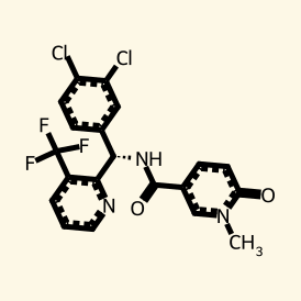 Cn1cc(C(=O)N[C@@H](c2ccc(Cl)c(Cl)c2)c2ncccc2C(F)(F)F)ccc1=O